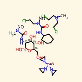 CN(CCCl)CCCl.CN(N=O)C(=O)N[C@@H]1[C@@H](O)[C@H](O)[C@@H](CO)O[C@@H]1O.O=NN(CCCl)C(=O)NC1CCCCC1.S=P(N1CC1)(N1CC1)N1CC1